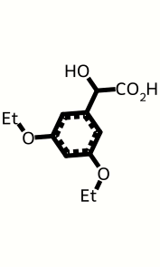 CCOc1cc(OCC)cc(C(O)C(=O)O)c1